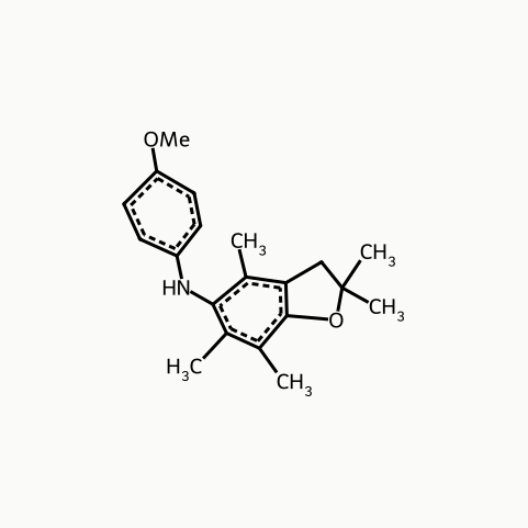 COc1ccc(Nc2c(C)c(C)c3c(c2C)CC(C)(C)O3)cc1